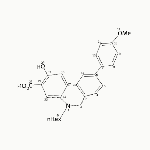 CCCCCCN(Cc1ccc(-c2ccc(OC)cc2)cc1)c1ccc(O)c(C(=O)O)c1